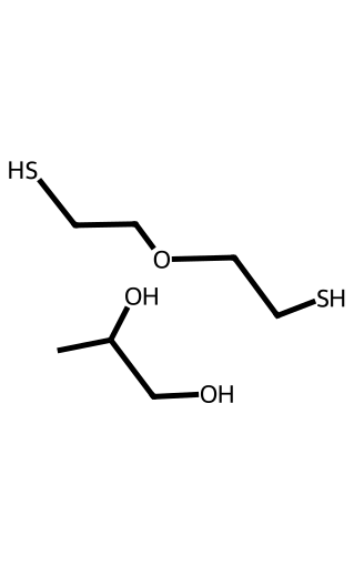 CC(O)CO.SCCOCCS